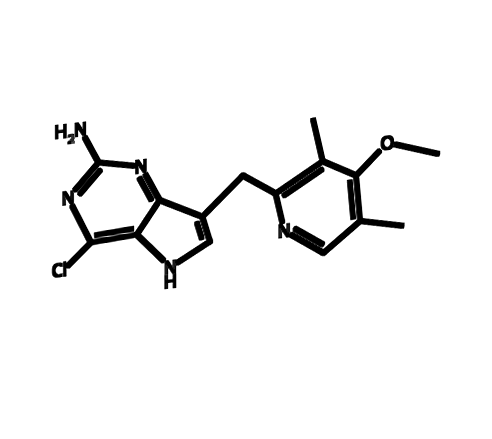 COc1c(C)cnc(Cc2c[nH]c3c(Cl)nc(N)nc23)c1C